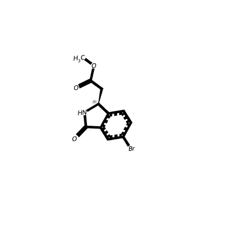 COC(=O)C[C@@H]1NC(=O)c2cc(Br)ccc21